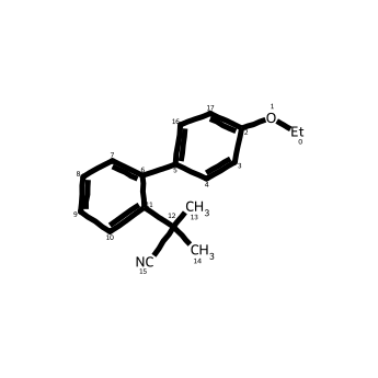 CCOc1ccc(-c2ccccc2C(C)(C)C#N)cc1